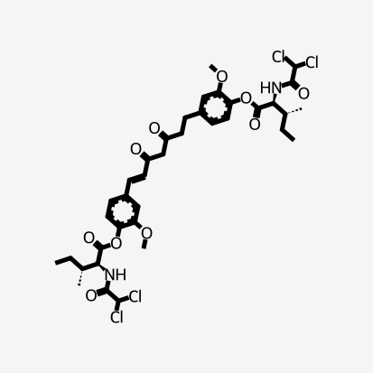 CC[C@@H](C)[C@H](NC(=O)C(Cl)Cl)C(=O)Oc1ccc(/C=C/C(=O)CC(=O)CCc2ccc(OC(=O)[C@@H](NC(=O)C(Cl)Cl)[C@H](C)CC)c(OC)c2)cc1OC